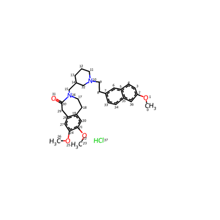 COc1ccc2cc(CCN3CCCC(CN4CCc5cc(OC)c(OC)cc5CC4=O)C3)ccc2c1.Cl